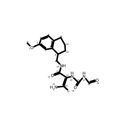 COc1ccc2c(c1)C(CNC(=O)/C(NC(=O)NC=O)=C(/C)N)CCC2